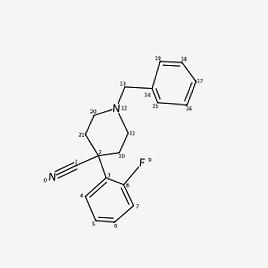 N#CC1(c2ccccc2F)CCN(Cc2ccccc2)CC1